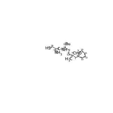 CC[C@H](C)C(CS[C@@](C)([C]=O)Cc1ccccc1)NCC(N)CS